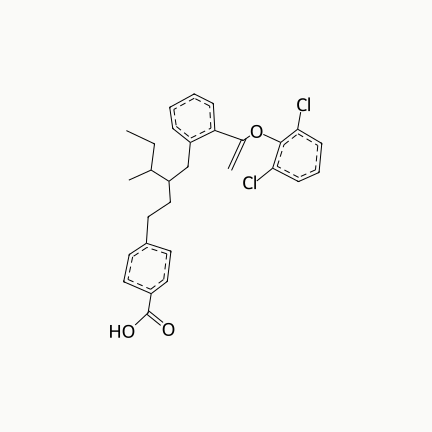 C=C(Oc1c(Cl)cccc1Cl)c1ccccc1CC(CCc1ccc(C(=O)O)cc1)C(C)CC